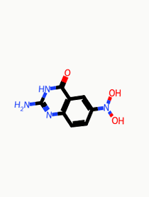 Nc1nc2ccc(N(O)O)cc2c(=O)[nH]1